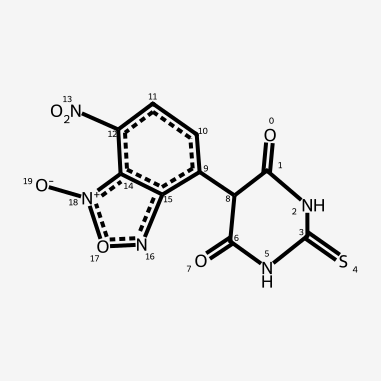 O=C1NC(=S)NC(=O)C1c1ccc([N+](=O)[O-])c2c1no[n+]2[O-]